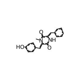 Cn1c(=O)c(=Cc2ccccc2)[nH]c(=O)c1=Cc1ccc(O)cc1